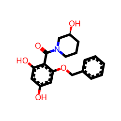 O=C(c1c(O)cc(O)cc1OCc1ccccc1)N1CCC[C@H](O)C1